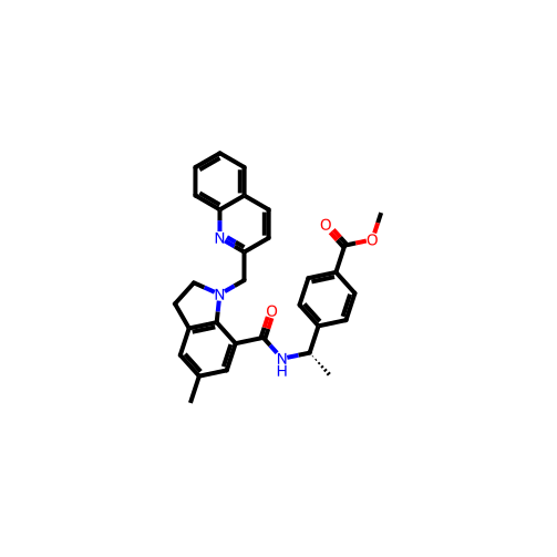 COC(=O)c1ccc([C@H](C)NC(=O)c2cc(C)cc3c2N(Cc2ccc4ccccc4n2)CC3)cc1